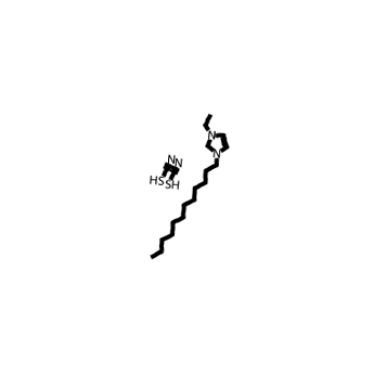 CCCCCCCCCCCCN1C=CN(CC)C1.N#CS.N#CS